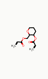 C=CC(=O)OCC1OCCCC1OC(=O)C=C